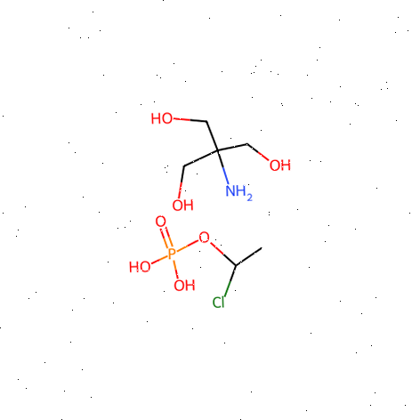 CC(Cl)OP(=O)(O)O.NC(CO)(CO)CO